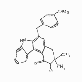 COc1ccc(Cc2nc3c(c4c2[nH]c2ccccc24)C(=O)C(Br)C(C)(C)C3)cc1